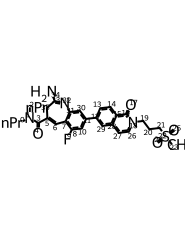 CCCN(CCC)C(=O)C1=Cc2c(F)cc(-c3ccc4c(=O)n(CCCS(C)(=O)=O)ccc4c3)cc2N=C(N)C1